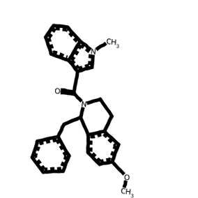 COc1ccc2c(c1)CCN(C(=O)c1cn(C)c3ccccc13)C2Cc1ccccc1